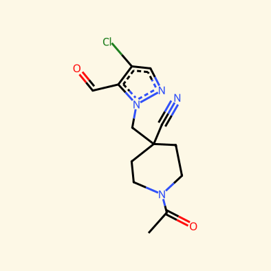 CC(=O)N1CCC(C#N)(Cn2ncc(Cl)c2C=O)CC1